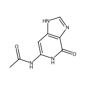 CC(=O)Nc1cc2[nH]cnc2c(=O)[nH]1